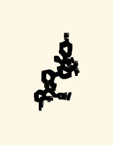 O=C(Nc1ccc(F)cc1)c1cc(-c2cccn3c(-c4cccc(F)c4F)c(CO)nc23)ccc1C(F)(F)F